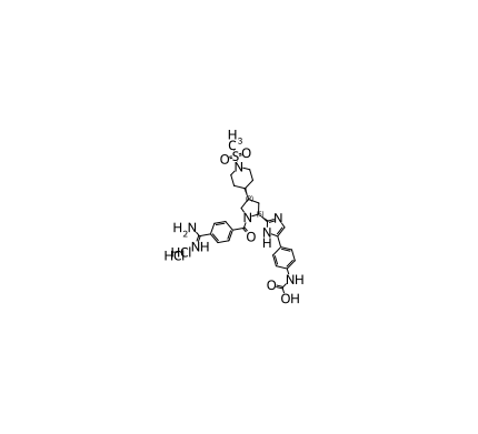 CS(=O)(=O)N1CCC([C@H]2C[C@@H](c3ncc(-c4ccc(NC(=O)O)cc4)[nH]3)N(C(=O)c3ccc(C(=N)N)cc3)C2)CC1.Cl.Cl